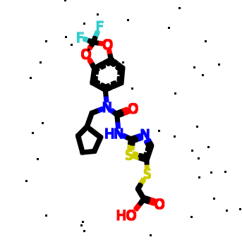 O=C(O)CSc1cnc(NC(=O)N(CC2CCCC2)c2ccc3c(c2)OC(F)(F)O3)s1